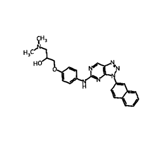 CN(C)CC(O)COc1ccc(Nc2ncc3nnn(-c4ccc5ccccc5c4)c3n2)cc1